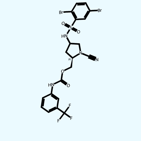 N#CN1CC(NS(=O)(=O)c2cc(Br)ccc2Br)C[C@@H]1COC(=O)Nc1cccc(C(F)(F)F)c1